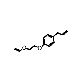 C=CCc1ccc(OCCOC=C)cc1